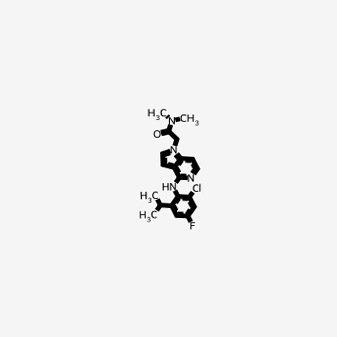 CC(C)c1cc(F)cc(Cl)c1Nc1nccc2c1ccn2CC(=O)N(C)C